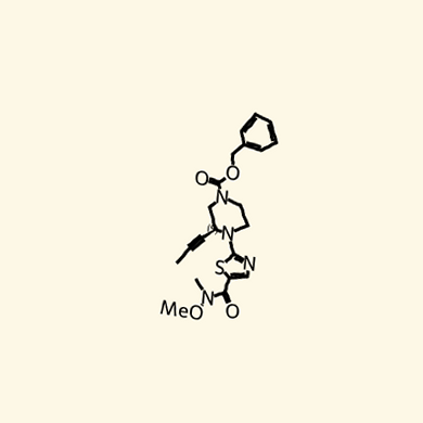 CC#C[C@H]1CN(C(=O)OCc2ccccc2)CCN1c1ncc(C(=O)N(C)OC)s1